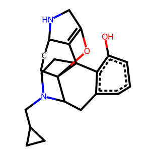 Oc1cccc2c1C13CCN(CC4CC4)C(C2)C12CCC1NCC(=C13)O2